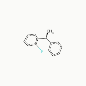 C[C@@H](c1ccccc1)c1ccccc1F